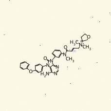 CN(C(=O)/C=C/C[N+](C)(C)[C@@H]1CCOC1)c1cccc(-n2c(=O)n(-c3ccc(Oc4ccccc4)cc3)c3c(N)ncnc32)c1